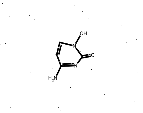 Nc1[c]cn(O)c(=O)n1